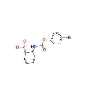 O=C(NC1C=CC=CC1=S(=O)=O)Oc1ccc(Br)cc1